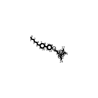 CCCCCCC1CCC(C2CCC(OCCC[Si](OCC)(OCC)OCC)CC2)CC1